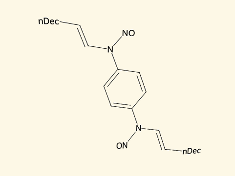 CCCCCCCCCC/C=C/N(N=O)c1ccc(N(/C=C/CCCCCCCCCC)N=O)cc1